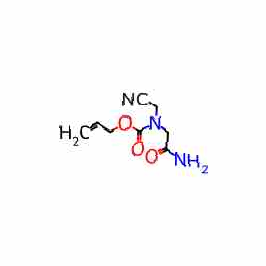 C=CCOC(=O)N(CC#N)CC(N)=O